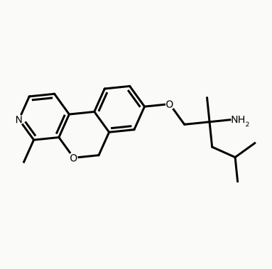 Cc1nccc2c1OCc1cc(OCC(C)(N)CC(C)C)ccc1-2